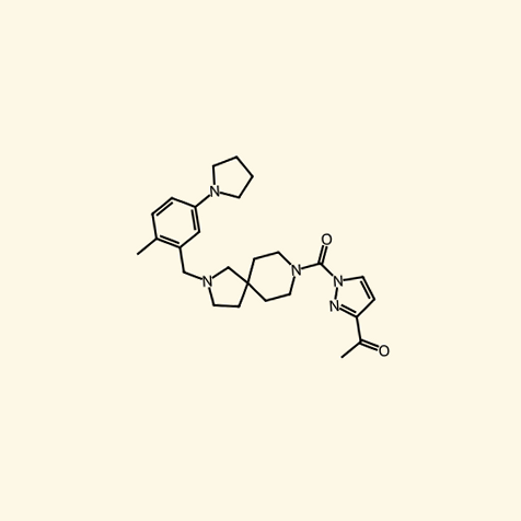 CC(=O)c1ccn(C(=O)N2CCC3(CCN(Cc4cc(N5CCCC5)ccc4C)C3)CC2)n1